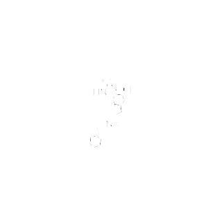 C=C1Nc2c(Cl)cc3cc(C(=O)N4CCC5(CC4)OCCc4ccccc45)oc3c2C2(CCCCC2)N1